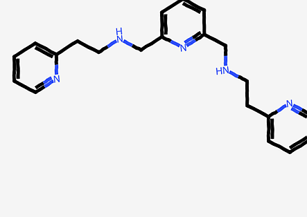 c1ccc(CCNCc2cccc(CNCCc3ccccn3)n2)nc1